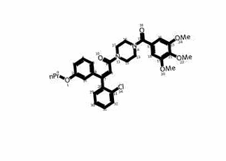 CCCOc1cccc(/C(=C\C(=O)N2CCN(C(=O)c3cc(OC)c(OC)c(OC)c3)CC2)c2ccccc2Cl)c1